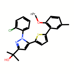 CCCOc1ccc(C)cc1-c1ccc(-c2cc(C(C)(C)O)nn2-c2ccccc2Cl)s1